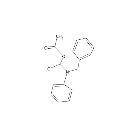 CC(=O)OC(C)N(Cc1ccccc1)c1ccccc1